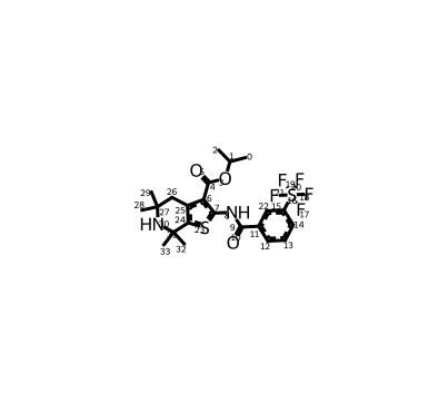 CC(C)OC(=O)c1c(NC(=O)c2cccc(S(F)(F)(F)(F)F)c2)sc2c1CC(C)(C)NC2(C)C